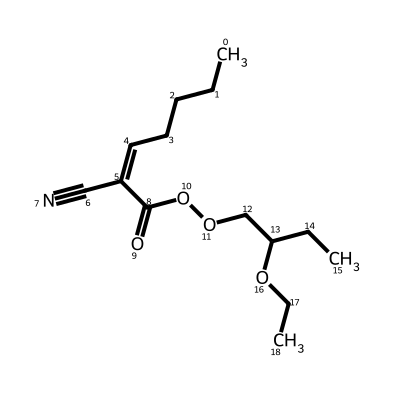 CCCCC=C(C#N)C(=O)OOCC(CC)OCC